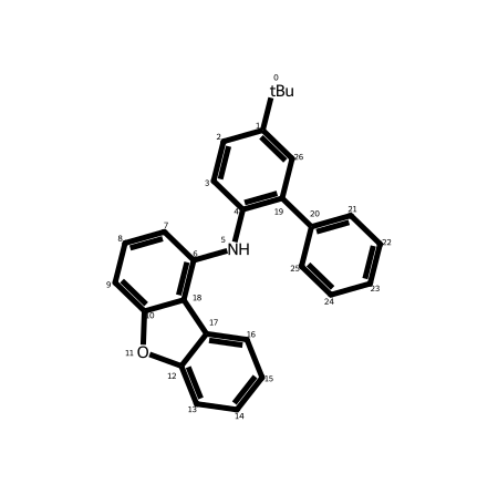 CC(C)(C)c1ccc(Nc2cccc3oc4ccccc4c23)c(-c2ccccc2)c1